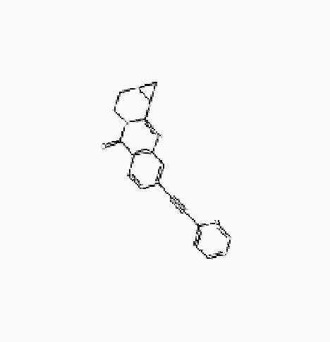 O=c1c2ccc(C#Cc3ccccn3)cc2nc2n1CCC1CC21